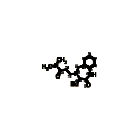 CCC(C)C1C(=O)Nc2ccccc2CN1CCC(=O)N(C)C